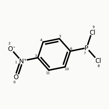 O=[N+]([O-])c1ccc(P(Cl)Cl)cc1